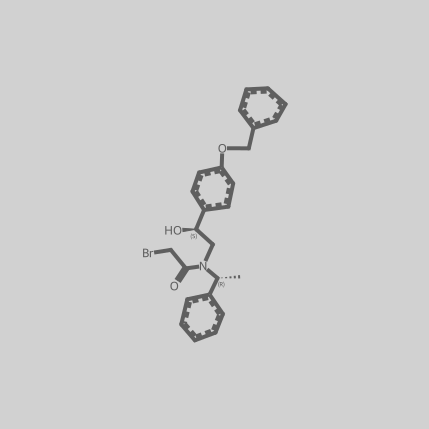 C[C@H](c1ccccc1)N(C[C@@H](O)c1ccc(OCc2ccccc2)cc1)C(=O)CBr